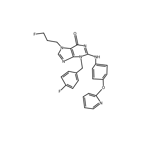 O=c1nc(Nc2ccc(Oc3ccccn3)cc2)n(Cc2ccc(F)cc2)c2ncn(CCCF)c12